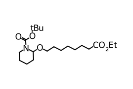 CCOC(=O)CCCCCCCOC1CCCCN1C(=O)OC(C)(C)C